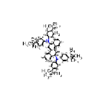 C[Si](C)(C)c1ccc(N(c2ccc([Si](C)(C)C)cc2)c2cc3c4ccccc4c(N(c4ccc([Si](C)(C)C)cc4)c4ccc([Si](C)(C)C)cc4)cc3c3ccccc23)cc1